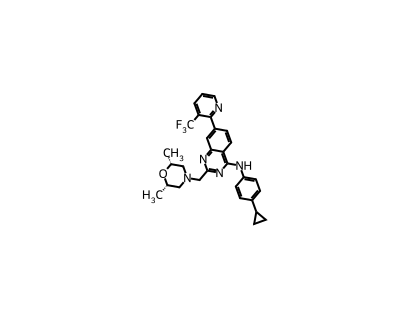 C[C@@H]1CN(Cc2nc(Nc3ccc(C4CC4)cc3)c3ccc(-c4ncccc4C(F)(F)F)cc3n2)C[C@H](C)O1